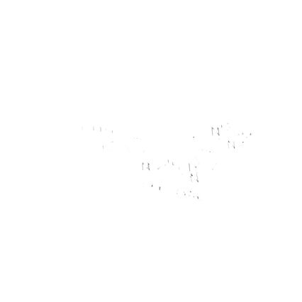 CCCCOC(=O)c1cccc(N2CCO[C@H]([C@@H](OC(C)=O)C(=O)Nc3ccc(-c4noc(=O)[nH]4)c(F)c3)C2=O)c1